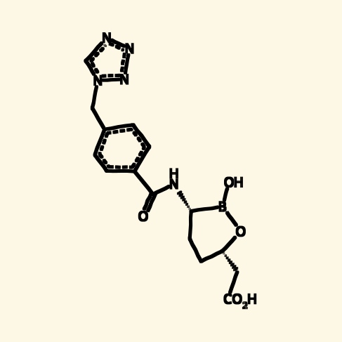 O=C(O)C[C@@H]1CC[C@H](NC(=O)c2ccc(Cn3cnnn3)cc2)B(O)O1